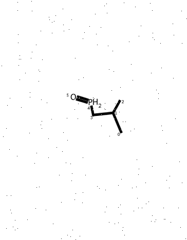 CC(C)C[PH2]=O